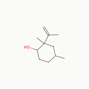 C=C(C)C1(C)CC(C)CCC1O